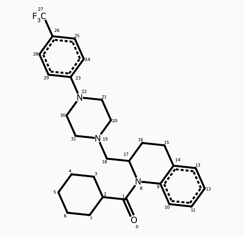 O=C(C1CCCCC1)N1c2ccccc2CCC1CN1CCN(c2ccc(C(F)(F)F)cc2)CC1